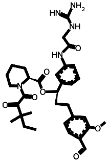 CCC(C)(C)C(=O)C(=O)N1CCCC[C@H]1C(=O)O[C@H](CCc1ccc(C=O)c(OC)c1)c1cccc(NC(=O)CNC(=N)N)c1